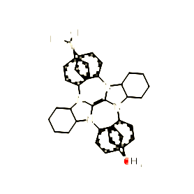 COc1ccc(N2/C(=C3/N(c4ccc(C)cc4)C4CCCCC4N3c3ccc(OC)cc3)N(c3ccc(C)cc3)C3CCCCC32)cc1